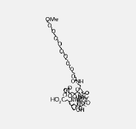 COCCOCCOCCOCCOCCOCCOCCOCCOCCOCC(=O)NCCCC[C@H](NC(=O)CCCN1C(=O)C=CC1=O)C(=O)N[C@@H](C)C(=O)N[C@@H](C)C(=O)Nc1cc(C[C@@H](CCC(=O)O)NC(=O)OC(C)(C)C)ccc1O